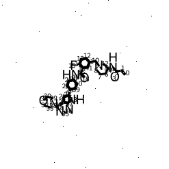 C=CC(=O)N[C@@H]1CCCN(Cc2ccc(F)c(C(=O)Nc3ccc(-c4cc5c(N6CCOCC6)ncnc5[nH]4)cc3)c2)C1